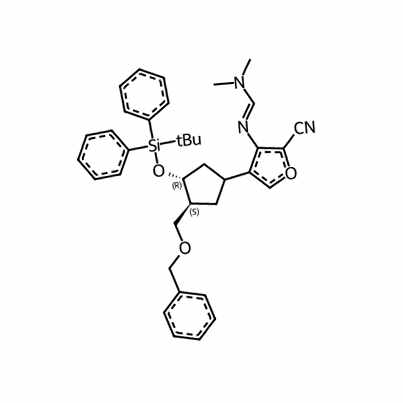 CN(C)C=Nc1c(C2C[C@@H](COCc3ccccc3)[C@H](O[Si](c3ccccc3)(c3ccccc3)C(C)(C)C)C2)coc1C#N